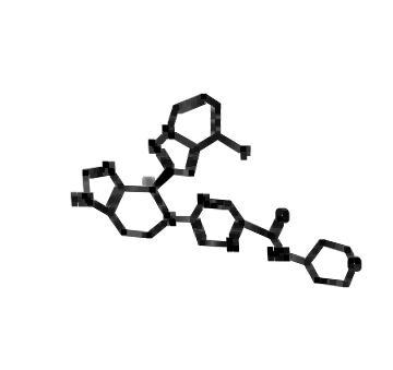 O=C(NC1CCOCC1)c1cnc(N2CCc3[nH]cnc3[C@H]2c2cc3c(F)cccn3n2)cn1